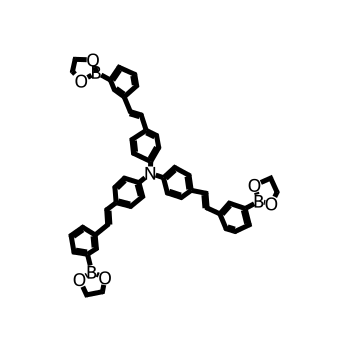 C(=C\c1cccc(B2OCCO2)c1)/c1ccc(N(c2ccc(/C=C/c3cccc(B4OCCO4)c3)cc2)c2ccc(/C=C/c3cccc(B4OCCO4)c3)cc2)cc1